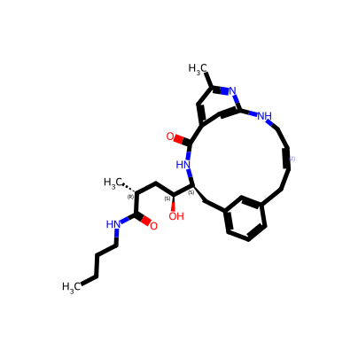 CCCCNC(=O)[C@H](C)C[C@H](O)[C@@H]1Cc2cccc(c2)C/C=C\CNc2cc(cc(C)n2)C(=O)N1